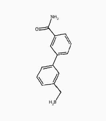 BCc1cccc(-c2cccc(C(N)=O)c2)c1